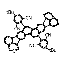 CC(C)(C)c1cc(C#N)c(-c2cc3c4cc5c(cc4c(-c4c(C#N)cc(C(C)(C)C)cc4C#N)cc3c3cc4c(cc23)-c2cccc3cccc-4c23)-c2cccc3cccc-5c23)c(C#N)c1